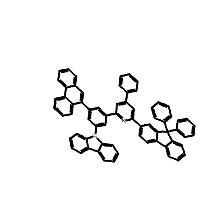 c1ccc(-c2cc(-c3cc(-c4cc5ccccc5c5ccccc45)cc(-n4c5ccccc5c5ccccc54)c3)nc(-c3ccc4c(c3)C(c3ccccc3)(c3ccccc3)c3ccccc3-4)c2)cc1